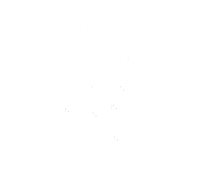 CC1CC(N)CN(c2c(NC(=O)c3ccc(F)c(-c4c(F)cc(C[S+]=O)cc4F)n3)cnc3c2CCC3O)C1